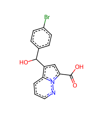 O=C(O)c1cc(C(O)c2ccc(Br)cc2)c2cccnn12